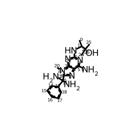 CC(Nc1nc(N)c2nc(C(N)(N)c3ccccc3)n(C)c2n1)C(C)(C)O